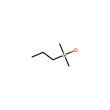 CCC[Si](C)(C)[O]